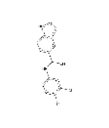 OC(Nc1ccc(Cl)c(Cl)c1)c1ccc2[nH]ccc2c1